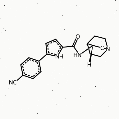 N#Cc1ccc(-c2ccc(C(=O)N[C@H]3CN4CCC3CC4)[nH]2)cc1